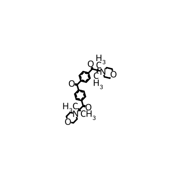 CC(C)(C(=O)c1ccc(C(=O)c2ccc(C(=O)C(C)(C)N3CCOCC3)cc2)cc1)N1CCOCC1